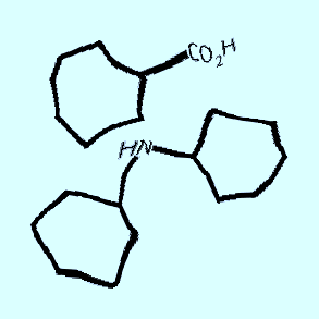 C1CCC(NC2CCCCC2)CC1.O=C(O)C1CCCCC1